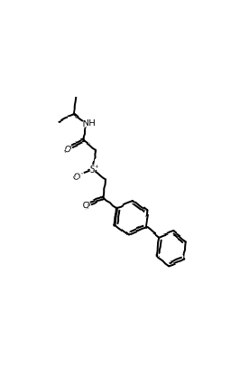 CC(C)NC(=O)C[S+]([O-])CC(=O)c1ccc(-c2ccccc2)cc1